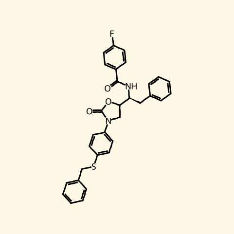 O=C(N[C@@H](Cc1ccccc1)C1CN(c2ccc(SCc3ccccc3)cc2)C(=O)O1)c1ccc(F)cc1